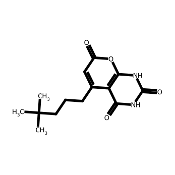 CC(C)(C)CCCc1cc(=O)oc2[nH]c(=O)[nH]c(=O)c12